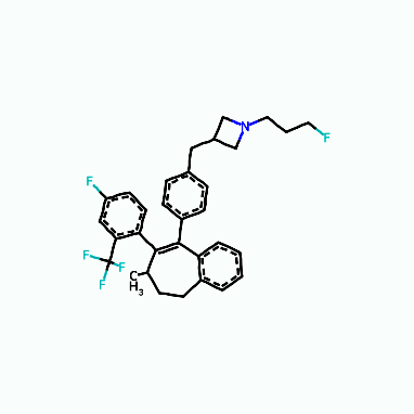 CC1CCc2ccccc2C(c2ccc(CC3CN(CCCF)C3)cc2)=C1c1ccc(F)cc1C(F)(F)F